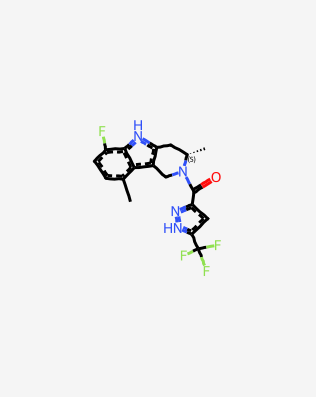 Cc1ccc(F)c2[nH]c3c(c12)CN(C(=O)c1cc(C(F)(F)F)[nH]n1)[C@@H](C)C3